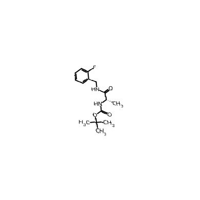 C[C@H](NC(=O)OC(C)(C)C)C(=O)NCc1ccccc1F